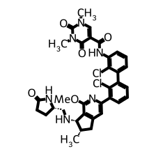 COc1nc(-c2cccc(-c3cccc(NC(=O)c4cn(C)c(=O)n(C)c4=O)c3Cl)c2Cl)cc2c1[C@@H](NC[C@@H]1CCC(=O)N1)[C@@H](C)C2